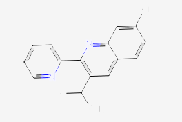 Cc1ccc2cc(C(C)C)c(-c3ccccn3)nc2c1